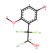 COc1ccc(Br)cc1C(F)(F)C(O)F